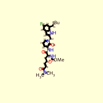 COC(=O)NC(CCC=CC(=O)N(C)C)C(=O)Nc1cccn(Cc2cc3cc(F)cc(CC(C)(C)C)c3[nH]2)c1=O